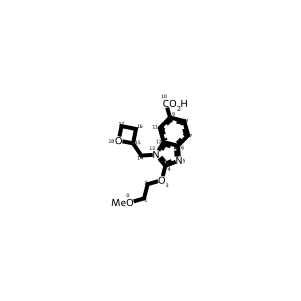 COCCOc1nc2ccc(C(=O)O)cc2n1CC1CCO1